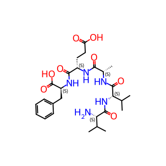 CC(C)[C@H](N)C(=O)N[C@H](C(=O)N[C@@H](C)C(=O)N[C@@H](CCC(=O)O)C(=O)N[C@@H](Cc1ccccc1)C(=O)O)C(C)C